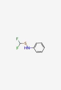 FC(F)SNc1ccccc1